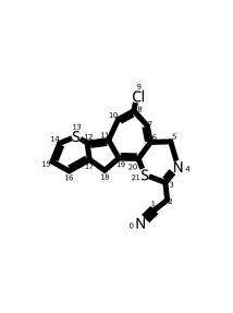 N#CCC1=NCC2=CC(Cl)=CC3=C4SC=CC=C4CC3=C2S1